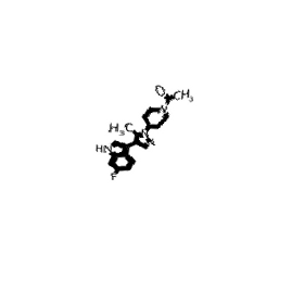 CC(=O)N1CCC(n2ncc(-c3c[nH]c4cc(F)ccc34)c2C)CC1